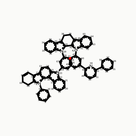 C1=Cc2c(n(-c3ccccc3)c3c2ccc2c3c3ccccc3n2-c2cccc(-n3c4c(c5ccccc53)CCc3c-4n(-c4cccc(-c5cccc(-c6ccccc6)n5)c4)c4ccccc34)c2)CC1